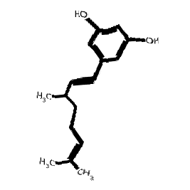 CC(C)=CCCC(C)/C=C/c1cc(O)cc(O)c1